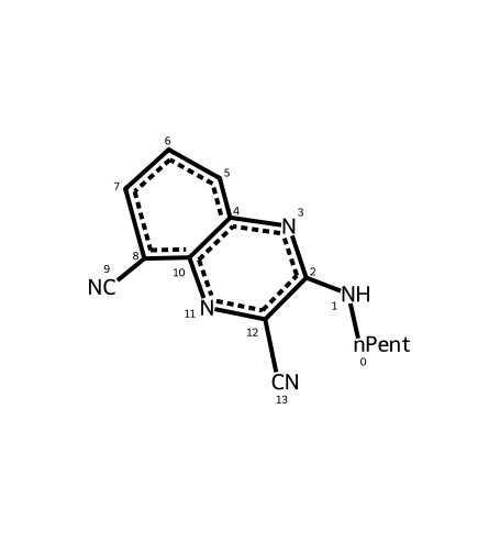 CCCCCNc1nc2cccc(C#N)c2nc1C#N